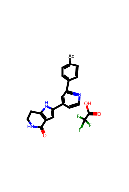 CC(=O)c1ccc(-c2cc(-c3cc4c([nH]3)CCNC4=O)ccn2)cc1.O=C(O)C(F)(F)F